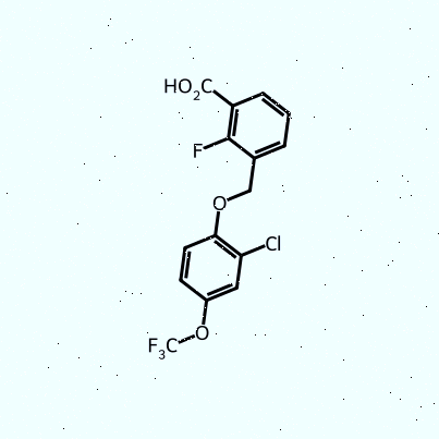 O=C(O)c1cccc(COc2ccc(OC(F)(F)F)cc2Cl)c1F